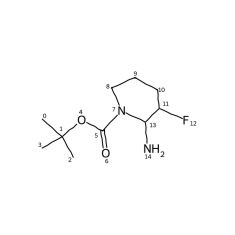 CC(C)(C)OC(=O)N1CCCC(F)C1N